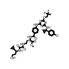 COC(=O)[C@@H](CCNC(=O)C(=O)NC(CCO)C1CC1)NC(=O)c1ccc(Nc2nc(NC3(c4ccc(Cl)cc4)CC3)nc(OCC(F)(F)F)n2)cc1